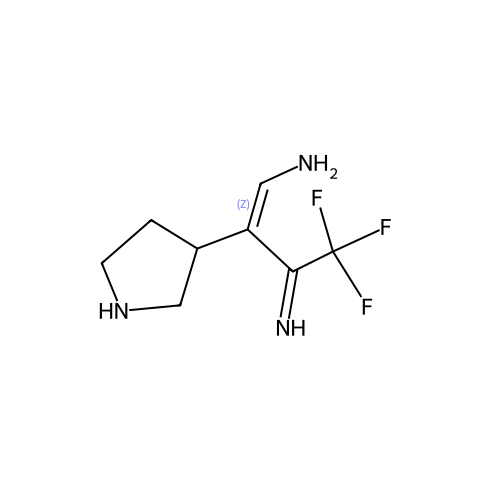 N=C(/C(=C\N)C1CCNC1)C(F)(F)F